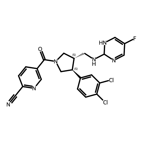 N#Cc1ccc(C(=O)N2C[C@H](CNC3N=CC(F)=CN3)[C@@H](c3ccc(Cl)c(Cl)c3)C2)cn1